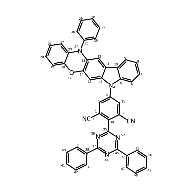 N#Cc1cc(-n2c3ccccc3c3cc4c(cc32)Oc2ccccc2N4c2ccccc2)cc(C#N)c1-c1nc(-c2ccccc2)nc(-c2ccccc2)n1